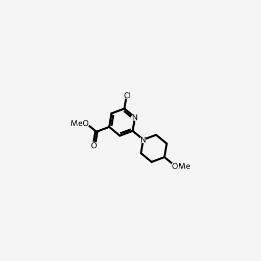 COC(=O)c1cc(Cl)nc(N2CCC(OC)CC2)c1